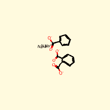 O=C([O-])c1ccccc1.O=C([O-])c1ccccc1C(=O)[O-].[Na+].[Na+].[Na+]